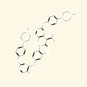 CC(C)=C(C(=O)Nc1ccc(Nc2nc(Nc3ccc(N4CCN(C)CC4)cc3)ncc2Cl)cc1Cl)c1nc(Nc2ccc(N3CCN(C)CC3)cc2)ncc1Cl